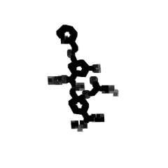 Cl.N=C(N)c1ccc(CNC(=O)c2cc(Cl)cc(OCc3ccccn3)c2)c(OCC(N)=O)c1